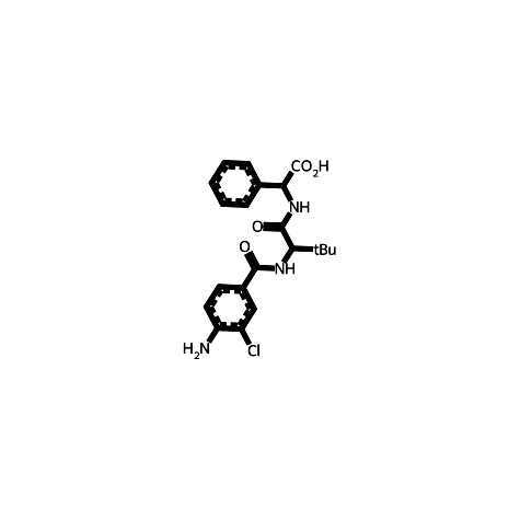 CC(C)(C)C(NC(=O)c1ccc(N)c(Cl)c1)C(=O)NC(C(=O)O)c1ccccc1